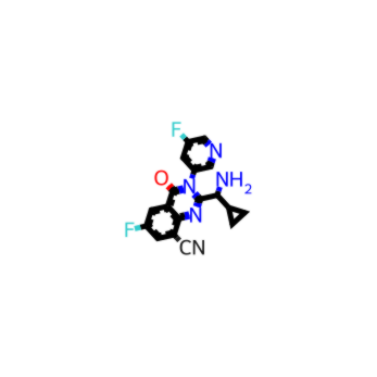 N#Cc1cc(F)cc2c(=O)n(-c3cncc(F)c3)c(C(N)C3CC3)nc12